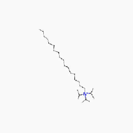 CCCCCCCCCCCCCCCCCC[N+](C(C)C)(C(C)C)C(C)C